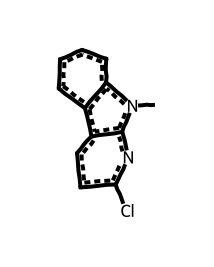 Cn1c2ccccc2c2ccc(Cl)nc21